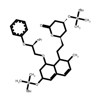 CCC[C@@H](COC1CC(O[Si](C)(C)C(C)(C)C)C=C2C=CC(C)C(CC[C@@H]3C[C@@H](O[Si](C)(C)C(C)(C)C)CC(=O)O3)C21)Oc1ccccc1